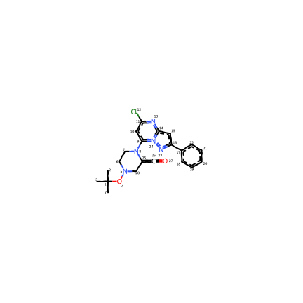 CC(C)(C)ON1CCN(c2cc(Cl)nc3cc(-c4ccccc4)nn23)C(=C=O)C1